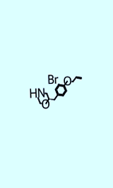 C=CCOc1ccc(C[C@@H]2CNCCO2)cc1Br